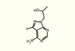 CC(O)Cn1nc(I)c2c(N)ncnc21